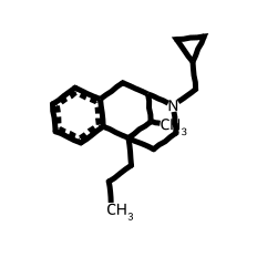 CCCC12CCN(CC3CC3)C(Cc3ccccc31)C2C